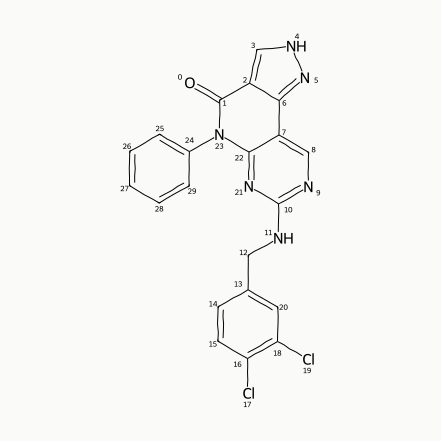 O=c1c2c[nH]nc2c2cnc(NCc3ccc(Cl)c(Cl)c3)nc2n1-c1ccccc1